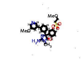 COCCS(=O)(=O)Oc1cccc(C2(c3cccc(-c4cncc(OC)c4)c3)N=C(N)N(C)C2=O)c1